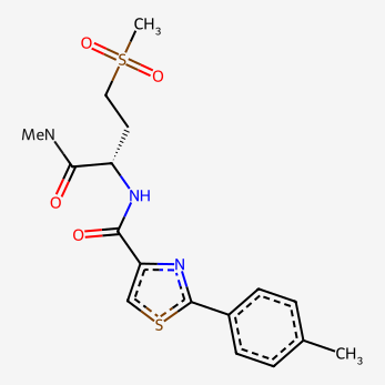 CNC(=O)[C@H](CCS(C)(=O)=O)NC(=O)c1csc(-c2ccc(C)cc2)n1